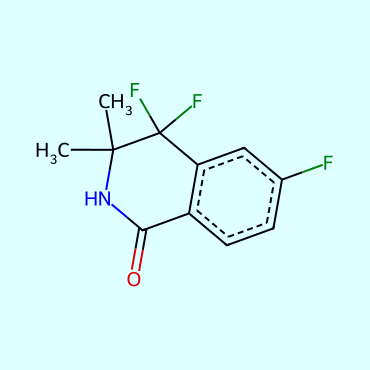 CC1(C)NC(=O)c2ccc(F)cc2C1(F)F